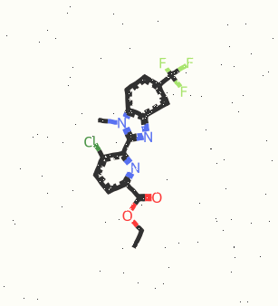 CCOC(=O)c1ccc(Cl)c(-c2nc3cc(C(F)(F)F)ccc3n2C)n1